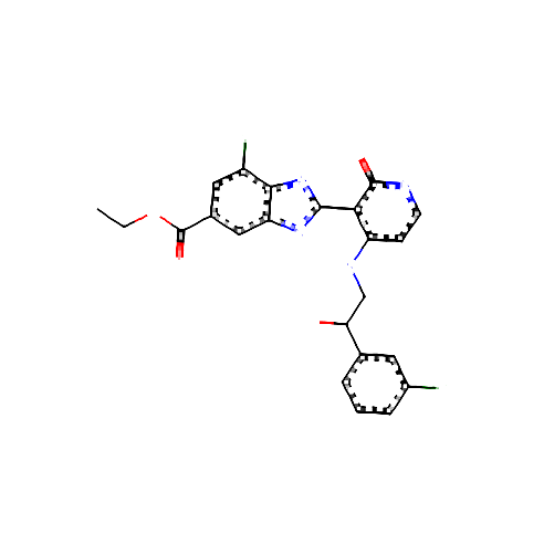 CCOC(=O)c1cc(Cl)c2nc(-c3c(NCC(O)c4cccc(Cl)c4)cc[nH]c3=O)[nH]c2c1